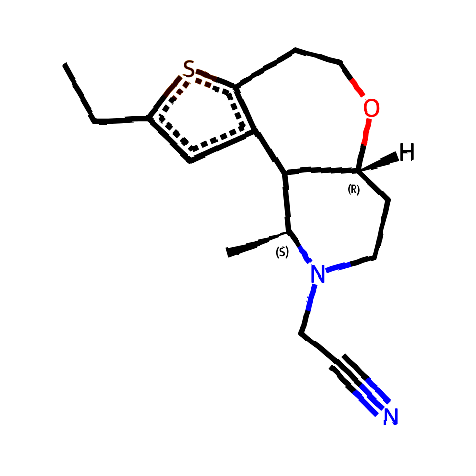 CCc1cc2c(s1)CCO[C@@H]1CCN(CC#N)[C@@H](C)C21